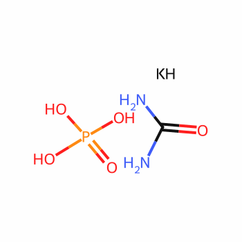 NC(N)=O.O=P(O)(O)O.[KH]